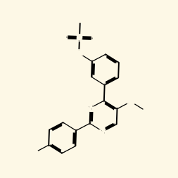 COc1cnc(-c2ccc(F)cc2)nc1-c1cccc(OS(C)(=O)=O)c1